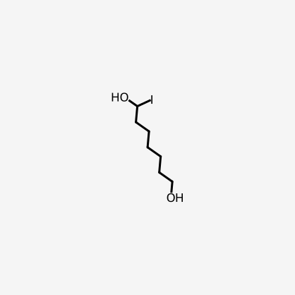 OCCCCCCC(O)I